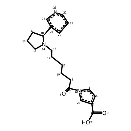 O=C(O)c1ccn(C(=O)CCCCCN2CCC[C@H]2c2cccnc2)c1